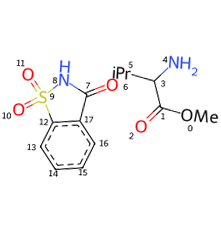 COC(=O)C(N)C(C)C.O=C1NS(=O)(=O)c2ccccc21